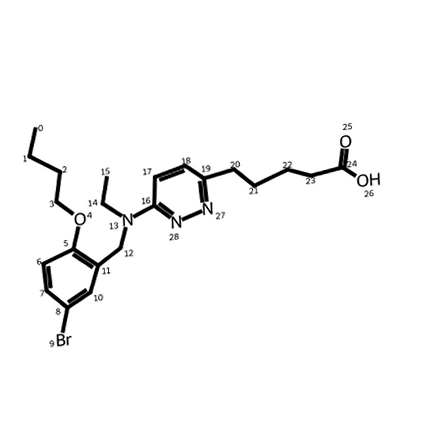 CCCCOc1ccc(Br)cc1CN(CC)c1ccc(CCCCC(=O)O)nn1